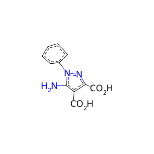 Nc1c(C(=O)O)c(C(=O)O)nn1-c1ccccc1